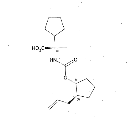 C=CC[C@@H]1CCC[C@H]1OC(=O)N[C@](C)(C(=O)O)C1CCCC1